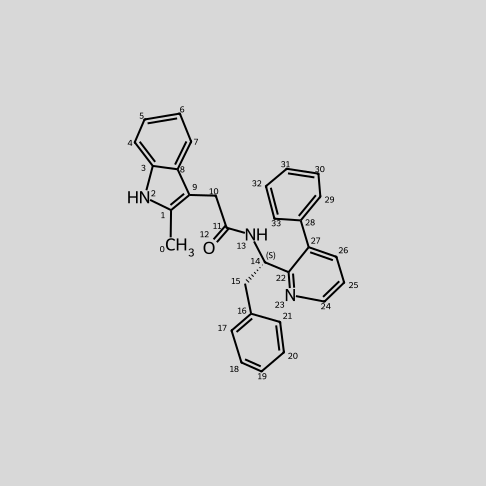 Cc1[nH]c2ccccc2c1CC(=O)N[C@@H](Cc1ccccc1)c1ncccc1-c1ccccc1